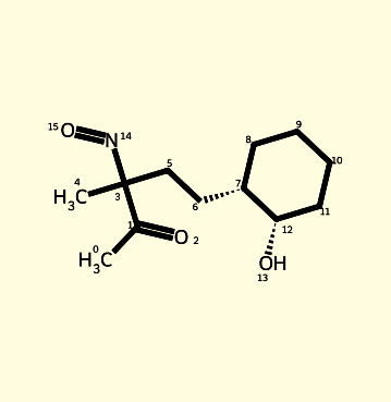 CC(=O)C(C)(CC[C@@H]1CCCC[C@@H]1O)N=O